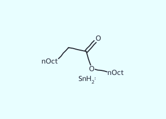 CCCCCCCCCC(=O)OCCCCCCCC.[SnH2]